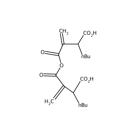 C=C(C(=O)OC(=O)C(=C)C(CCCC)C(=O)O)C(CCCC)C(=O)O